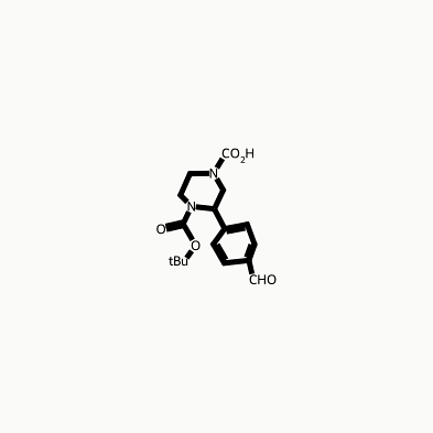 CC(C)(C)OC(=O)N1CCN(C(=O)O)CC1c1ccc(C=O)cc1